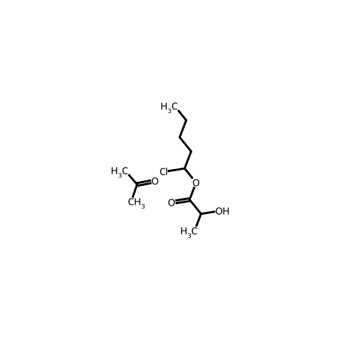 CC(C)=O.CCCCC(Cl)OC(=O)C(C)O